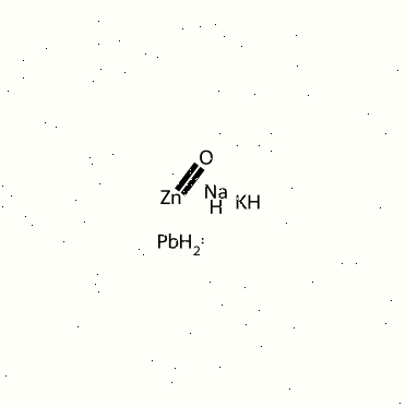 [KH].[NaH].[O]=[Zn].[PbH2]